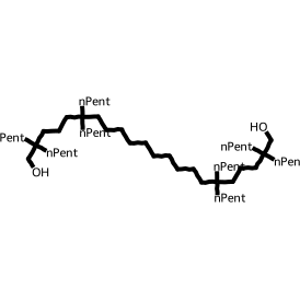 CCCCCC(CO)(CCCCC)CCCC(CCCCC)(CCCCC)CCCCCCCCCCC(CCCCC)(CCCCC)CCCC(CO)(CCCCC)CCCCC